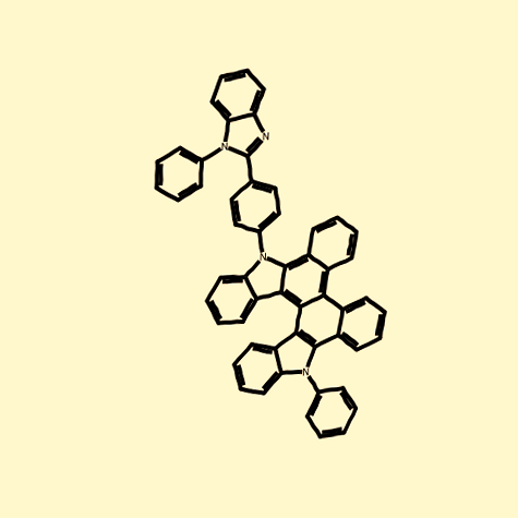 c1ccc(-n2c(-c3ccc(-n4c5ccccc5c5c6c(c7ccccc7c7c6c6ccccc6n7-c6ccccc6)c6ccccc6c54)cc3)nc3ccccc32)cc1